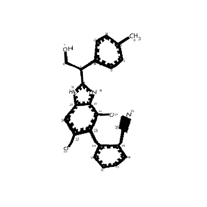 Cc1ccc(C(CO)c2nc3c(Cl)c(-c4ccccc4C#N)c(Cl)cc3[nH]2)cc1